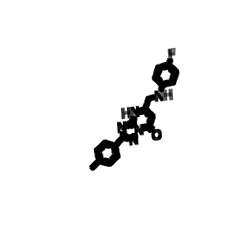 Cc1ccc(-c2nc3[nH]c(CNc4ccc(F)cc4)cc(=O)n3n2)cc1